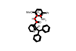 COc1ccc(C(C)C)cc1CNC1C2CCN(CC2C(=O)NC(C)C(N)=O)[C@H]1C(c1ccccc1)c1ccccc1